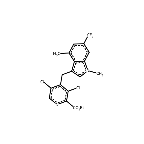 CCOC(=O)c1ncc(Cl)c(Cc2cn(C)c3cc(C(F)(F)F)cc(C)c23)c1Cl